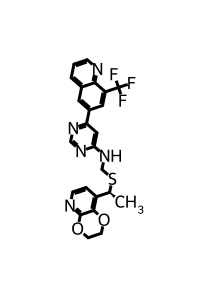 C[C@H](SCNc1cc(-c2cc(C(F)(F)F)c3ncccc3c2)ncn1)c1ccnc2c1OCCO2